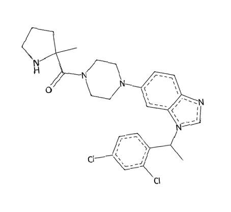 CC(c1ccc(Cl)cc1Cl)n1cnc2ccc(N3CCN(C(=O)C4(C)CCCN4)CC3)cc21